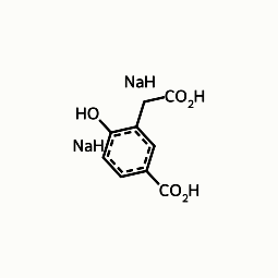 O=C(O)Cc1cc(C(=O)O)ccc1O.[NaH].[NaH]